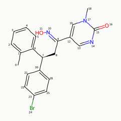 Cc1ccccc1[C@@H](C/C(=N\O)c1cnc(=O)n(C)c1)c1ccc(Br)cc1